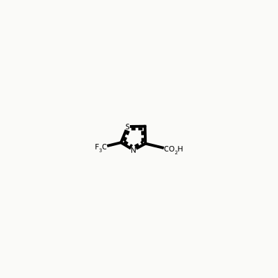 O=C(O)c1csc(C(F)(F)F)n1